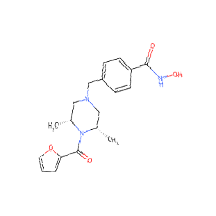 C[C@@H]1CN(Cc2ccc(C(=O)NO)cc2)C[C@H](C)N1C(=O)c1ccco1